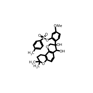 COc1ccc(C2(O)COc3c(ccc4c3CCC(C)(C)O4)C2O)c(OS(=O)(=O)c2ccc(C)cc2)c1